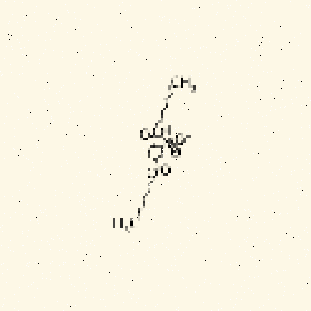 CCCCCCCCOC(=O)c1ccc(C(=O)OCCCCCCCC)c(N[N+](=O)[O-])c1